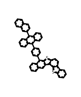 c1ccc2cc(-c3c4ccccc4c(-c4ccc(-c5c6ccccc6cc6c5sc5ccc7c8ccccc8sc7c56)cc4)c4ccccc34)ccc2c1